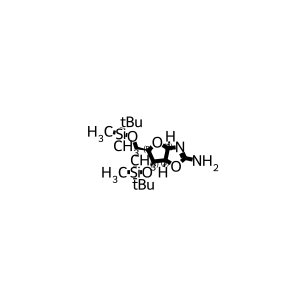 CC(C)(C)[Si](C)(C)OC[C@H]1O[C@H]2N=C(N)O[C@H]2[C@@H]1O[Si](C)(C)C(C)(C)C